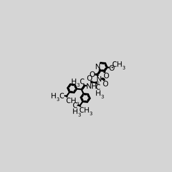 COc1ccnc2c(=O)n([C@@H](C)C(=O)NC(C)=C(c3cccc(C(C)C)c3)c3cccc(C(C)C)c3)c(=O)oc12